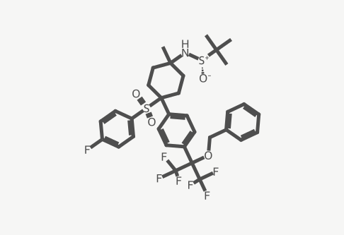 CC1(N[S@@+]([O-])C(C)(C)C)CCC(c2ccc(C(OCc3ccccc3)(C(F)(F)F)C(F)(F)F)cc2)(S(=O)(=O)c2ccc(F)cc2)CC1